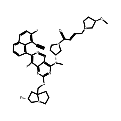 C#Cc1c(F)ccc2cccc(-c3ncc4c(N(C)[C@@H]5CCN(C(=O)/C=C/CN6CC[C@@H](OC)C6)C5)nc(OCC56CCCN5C[C@H](F)C6)nc4c3F)c12